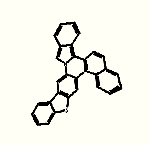 c1ccc2c(c1)ccc1c2c2cc3sc4ccccc4c3cc2n2cc3ccccc3c12